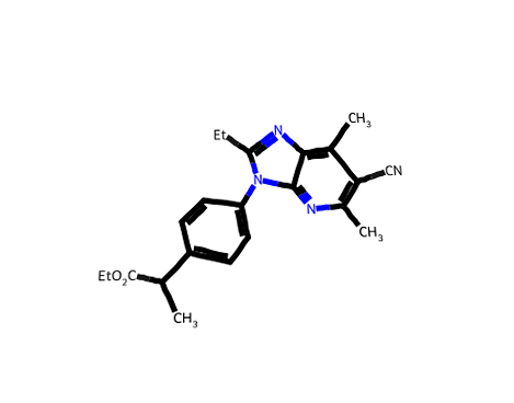 CCOC(=O)C(C)c1ccc(-n2c(CC)nc3c(C)c(C#N)c(C)nc32)cc1